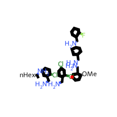 CCCCCCC(C)N.COc1ccccc1CN.NCc1ccc(Cl)cc1Cl.NCc1ccccc1.NCc1ccccc1Cl.NCc1ccccc1F